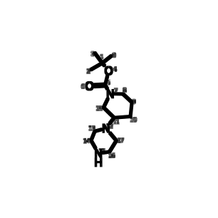 CC(C)(C)OC(=O)N1CCCC(N2CCNCC2)C1